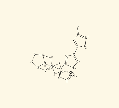 Cc1cc(-c2cc3c(N4CC5CCC(C4)N5[C@H]4C[C@@H](C#N)C4)ccnn3c2)on1